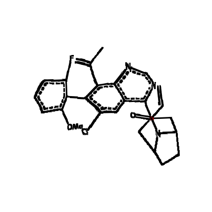 C=CC(=O)N1C2CCC1CN(c1ncnc3c(C(=C)C)c(-c4c(F)cccc4OC)c(Cl)cc13)C2